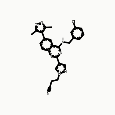 Cc1noc(C)c1-c1ccc2nc(-c3cnn(CCC#N)c3)nc(NCc3cccc(Cl)c3)c2c1